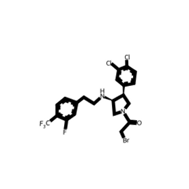 O=C(CBr)N1C[C@H](c2ccc(Cl)c(Cl)c2)[C@H](NCCc2ccc(C(F)(F)F)c(F)c2)C1